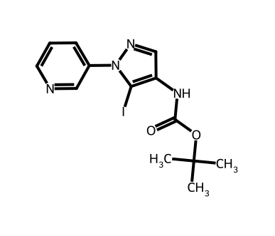 CC(C)(C)OC(=O)Nc1cnn(-c2cccnc2)c1I